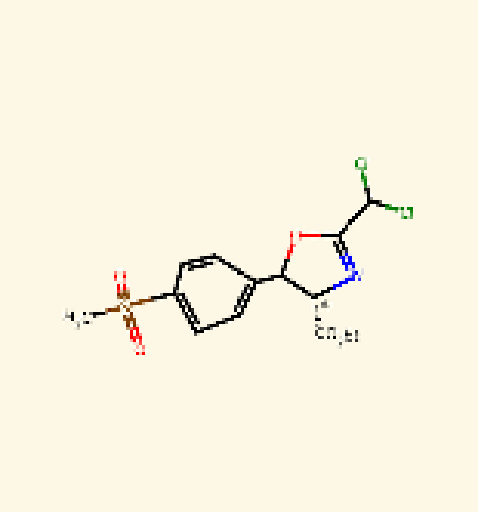 CCOC(=O)[C@H]1N=C(C(Cl)Cl)OC1c1ccc(S(C)(=O)=O)cc1